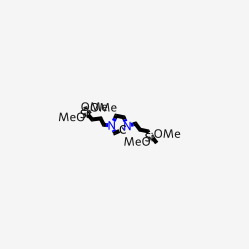 CO[Si](C)(CCCN1CCN(CCC[Si](OC)(OC)OC)CC1)OC